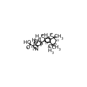 C/C(=C\c1ncc(C(=O)O)n1C)c1cc2c(cc1C)C(C)(C)CCC2(C)C